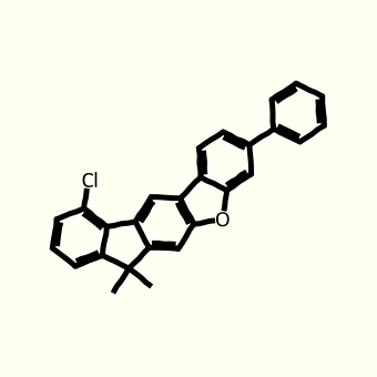 CC1(C)c2cc3oc4cc(-c5ccccc5)ccc4c3cc2-c2c(Cl)cccc21